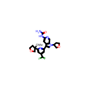 COC1(c2cc(C(F)F)cc(-c3cn(C4CCOC4)c4cnc(NC(N)=O)cc34)n2)CCOC1